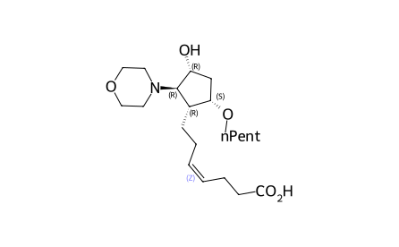 CCCCCO[C@H]1C[C@@H](O)[C@H](N2CCOCC2)[C@H]1CC/C=C\CCC(=O)O